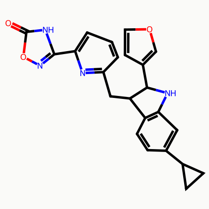 O=c1[nH]c(-c2cccc(CC3c4ccc(C5CC5)cc4NC3c3ccoc3)n2)no1